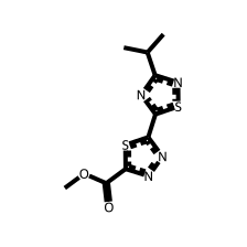 COC(=O)c1nnc(-c2nc(C(C)C)ns2)s1